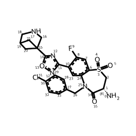 N[C@H]1CS(=O)(=O)c2cc(F)c(-c3noc(C45CNCC(C4)C5)n3)cc2N(Cc2ccc(Cl)cc2)C1=O